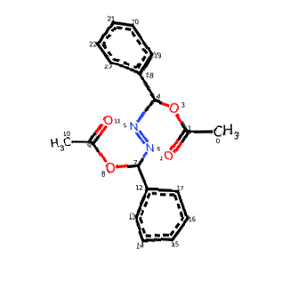 CC(=O)OC(N=NC(OC(C)=O)c1ccccc1)c1ccccc1